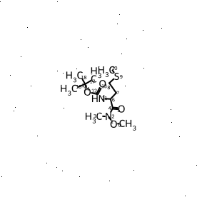 CON(C)C(=O)C(CCSC)NC(=O)OC(C)(C)C